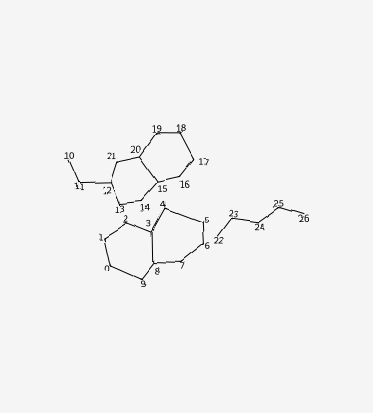 C1CCC2CCCCC2C1.CCC1CCC2CCCCC2C1.CCCCC